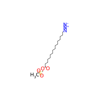 CS(=O)(=O)COC(=O)CCCCCCCCCCCCCCCN=[N+]=[N-]